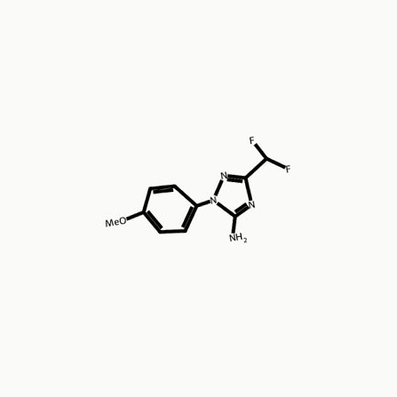 COc1ccc(-n2nc(C(F)F)nc2N)cc1